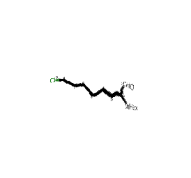 CCCCCCC(C=O)CCCCCCCl